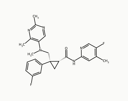 Cc1ncc(N(C)C[C@@]2(c3cccc(F)c3)C[C@H]2C(=O)Nc2cc(C)c(F)cn2)c(C)n1